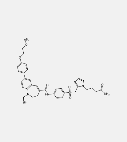 CCCCOCCOc1ccc(-c2ccc3c(c2)C=C(C(=O)Nc2ccc(S(=O)(=O)Cc4nccn4CCCC(N)=O)cc2)CCN3CC(C)C)cc1